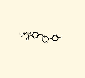 NNC(=O)c1ccc(CN2CCSC(c3ccc(F)cc3)C2)cc1